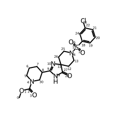 COC(=O)N1CCCC(C2=NC3(CCN(S(=O)(=O)c4cccc(Cl)c4)CC3)C(=O)N2)C1